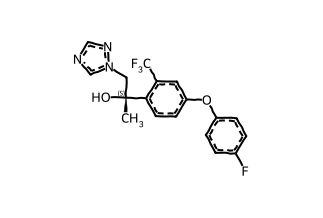 C[C@@](O)(Cn1cncn1)c1ccc(Oc2ccc(F)cc2)cc1C(F)(F)F